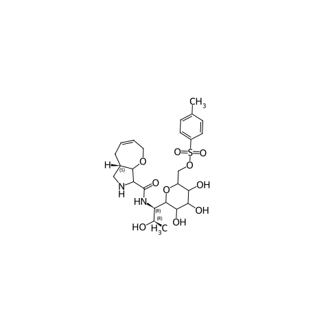 Cc1ccc(S(=O)(=O)OCC2OC([C@H](NC(=O)C3NC[C@@H]4CC=CCOC34)[C@@H](C)O)C(O)C(O)C2O)cc1